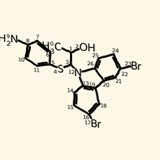 CC(O)C(Sc1ccc(N)cc1)n1c2ccc(Br)cc2c2cc(Br)ccc21